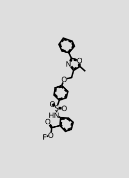 Cc1oc(-c2ccccc2)nc1COc1ccc(S(=O)(=O)Nc2ccccc2C(=O)OF)cc1